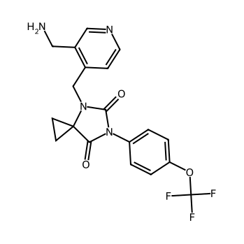 NCc1cnccc1CN1C(=O)N(c2ccc(OC(F)(F)F)cc2)C(=O)C12CC2